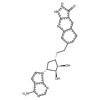 Nc1ncnc2c1ccn2[C@@H]1C[C@H](CCc2ccc3cc4c(=O)[nH][nH]c4nc3c2)[C@@H](O)[C@H]1O